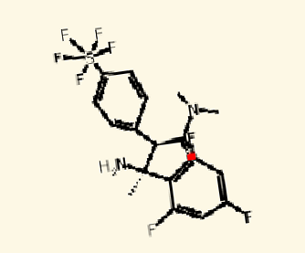 CN(C)C(=O)[C@H](c1ccc(S(F)(F)(F)(F)F)cc1)[C@](C)(N)c1c(F)cc(F)cc1F